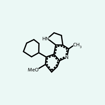 COc1ccc2nc(C)c3c(c2c1C1CCCCC1)NCC3